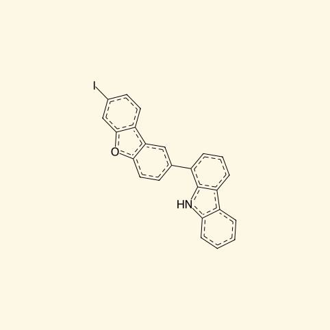 Ic1ccc2c(c1)oc1ccc(-c3cccc4c3[nH]c3ccccc34)cc12